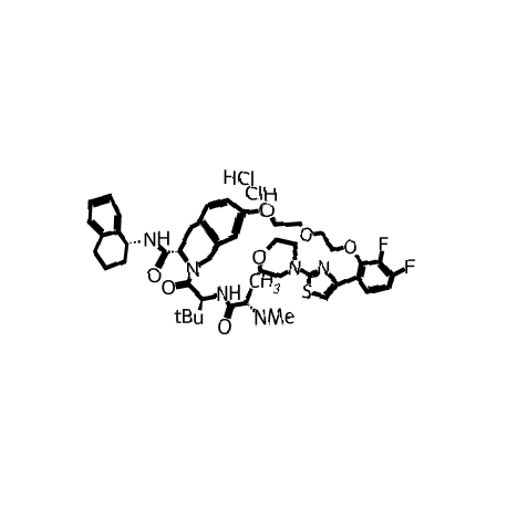 CN[C@@H](C)C(=O)N[C@H](C(=O)N1Cc2cc(OCCOCCOc3c(-c4csc(N5CCOCC5)n4)ccc(F)c3F)ccc2C[C@H]1C(=O)N[C@@H]1CCCc2ccccc21)C(C)(C)C.Cl.Cl